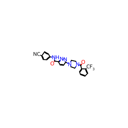 N#Cc1ccc(NC(=O)c2ccc(N3CCN(C(=O)c4ccccc4C(F)(F)F)CC3)nn2)cc1